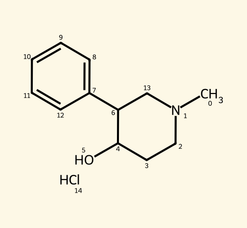 CN1CCC(O)C(c2ccccc2)C1.Cl